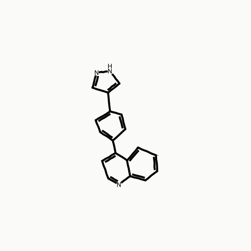 [c]1ccc2nccc(-c3ccc(-c4cn[nH]c4)cc3)c2c1